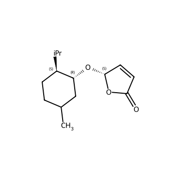 CC1CC[C@@H](C(C)C)[C@H](O[C@@H]2C=CC(=O)O2)C1